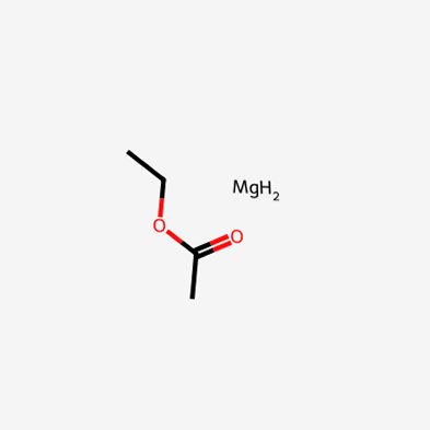 CCOC(C)=O.[MgH2]